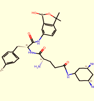 CC1(C)OB(O)c2cc(NC(=O)[C@@H](Cc3ccc(C(F)(F)F)cc3)NC(=O)[C@@H](N)CCC(=O)NC3C[C@@H](N)C[C@@H](N)C3)ccc21